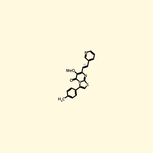 COc1c(/C=C/c2cccnc2)nc2scc(-c3ccc(C)cc3)n2c1=O